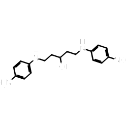 Nc1ccc(NCCC(O)CCNc2ccc([N+](=O)[O-])cc2)cc1